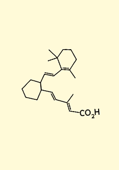 CC1=C(C=CC2CCCCC2/C=C/C(C)=C/C(=O)O)C(C)(C)CCC1